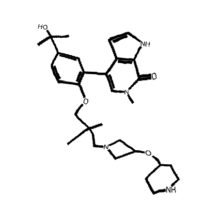 Cn1cc(-c2cc(C(C)(C)O)ccc2OCC(C)(C)CN2CC(OC3CCNCC3)C2)c2cc[nH]c2c1=O